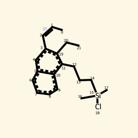 C/C=C\c1cc2ccccc2c(CCC[Si](C)(C)Cl)c1CC